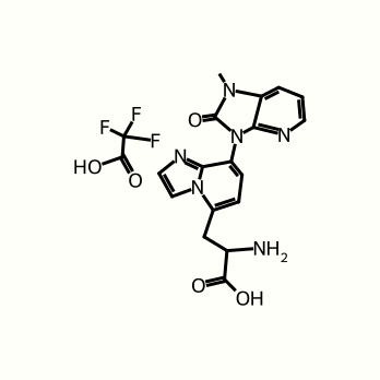 Cn1c(=O)n(-c2ccc(CC(N)C(=O)O)n3ccnc23)c2ncccc21.O=C(O)C(F)(F)F